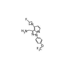 NCc1nn(-c2ccc(OC(F)(F)F)cc2)c2nccc(N3CC(F)C3)c12